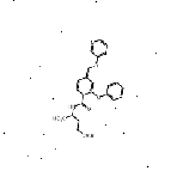 CSCCC(NC(=O)C1C=C/C(=C/Oc2cccnc2)C=C1Oc1ccccc1)C(=O)O